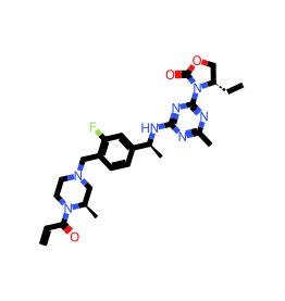 C=CC(=O)N1CCN(Cc2ccc([C@H](C)Nc3nc(C)nc(N4C(=O)OC[C@@H]4CC)n3)cc2F)C[C@H]1C